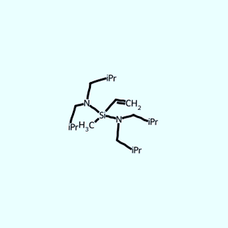 C=C[Si](C)(N(CC(C)C)CC(C)C)N(CC(C)C)CC(C)C